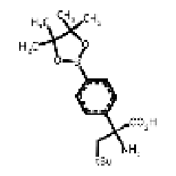 CC(C)(C)C[C@](N)(C(=O)O)c1ccc(B2OC(C)(C)C(C)(C)O2)cc1